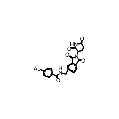 CC(=O)c1ccc(C(=O)NCc2ccc3c(c2)C(=O)N(C2CCC(=O)NC2=O)C3=O)cc1